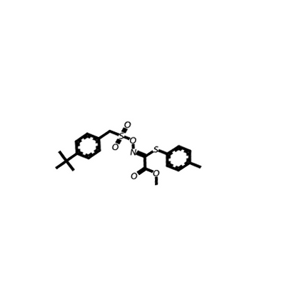 COC(=O)/C(=N/OS(=O)(=O)Cc1ccc(C(C)(C)C)cc1)Sc1ccc(C)cc1